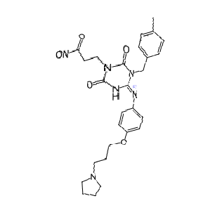 Cc1ccc(Cn2c(=O)n(CCC(=O)N=O)c(=O)[nH]/c2=N\c2ccc(OCCCN3CCCC3)cc2)cc1